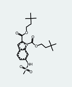 CC(C)(C)CCOC(=O)c1cc2ccc(NS(C)(=O)=O)cc2n1C(=O)OCCC(C)(C)C